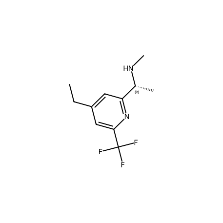 CCc1cc([C@@H](C)NC)nc(C(F)(F)F)c1